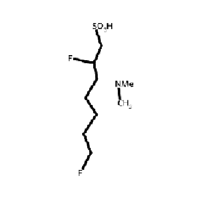 CNC.O=S(=O)(O)CC(F)CCCCCF